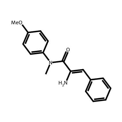 COc1ccc(N(C)C(=O)C(N)=Cc2ccccc2)cc1